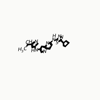 CC(C)c1cncc(Nc2cnc3ccc(Nc4nnc(C5CCCC5)s4)nc3c2)c1